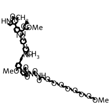 COCCOCCOCCOCCOCCOCCOCCOCCC(=O)NCC(=O)NCN1C(=O)CCN(c2cc(C#CCNC3(C)CCN(C4CCN(c5nc(C(COC)OC6CC6)c6cc(-c7cn(C)c(=O)c8[nH]ccc78)ccc6n5)CC4)CC3)ccc2OC)C1=O